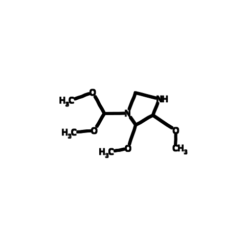 COC1NCN(C(OC)OC)C1OC